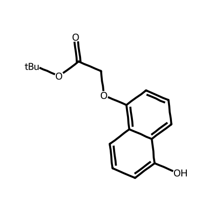 CC(C)(C)OC(=O)COc1cccc2c(O)cccc12